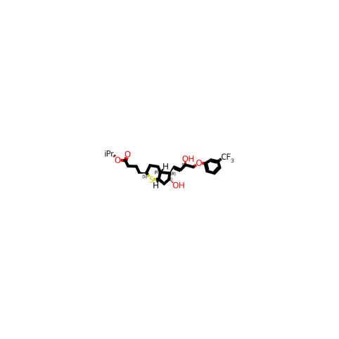 CC(C)OC(=O)CCC[C@H]1CC[C@@H]2[C@@H](C=C[C@@H](O)COc3cccc(C(F)(F)F)c3)[C@H](O)C[C@@H]2S1